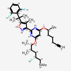 C#CCCC[C@H](CCC)Oc1cc(O[C@@H](C)[C@@H](C)C[C@@H](F)CNC)nc(-c2noc(C(C)(C)c3c(F)cccc3F)c2C)n1